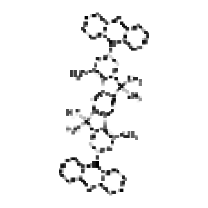 Cc1cc(N2c3ccccc3Oc3ccccc32)cc2c1-c1cc3c(cc1C2(C)C)-c1c(C)cc(N2c4ccccc4Oc4ccccc42)cc1C3(C)C